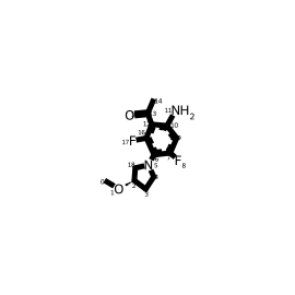 CO[C@H]1CCN(c2c(F)cc(N)c(C(C)=O)c2F)C1